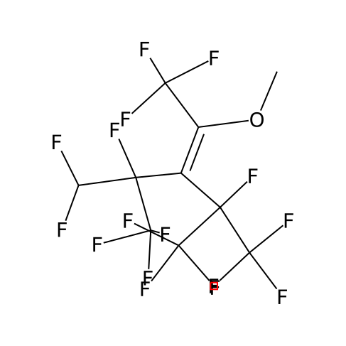 COC(=C(C(F)(C(F)F)C(F)(F)F)C(F)(C(F)(F)F)C(F)(F)F)C(F)(F)F